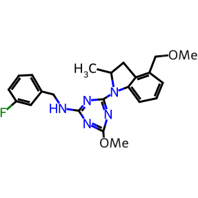 COCc1cccc2c1CC(C)N2c1nc(NCc2cccc(F)c2)nc(OC)n1